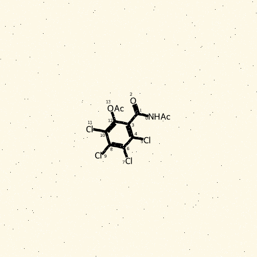 CC(=O)NC(=O)c1c(Cl)c(Cl)c(Cl)c(Cl)c1OC(C)=O